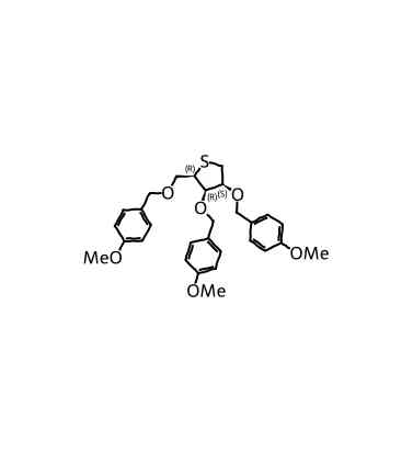 COc1ccc(COC[C@H]2SC[C@@H](OCc3ccc(OC)cc3)[C@H]2OCc2ccc(OC)cc2)cc1